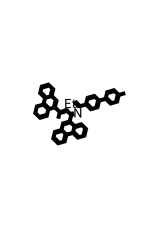 C=C(/N=C(\C(CC)=C(/C)c1cc2ccccc2c2c1C=CCC2)c1cc2ccccc2c2ccccc12)c1ccc(-c2ccc(C)cc2)cc1